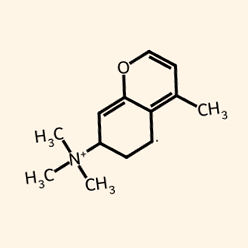 CC1=C2[CH]CC([N+](C)(C)C)C=C2OC=C1